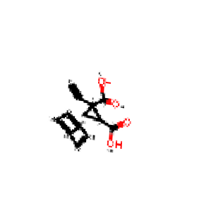 C#CC1(C(=O)O)CC1C(=O)O.c1cc2ccc1-2